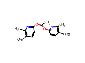 Cc1nc(OC(C)Oc2ccc(C=O)c(C)n2)ccc1C=O